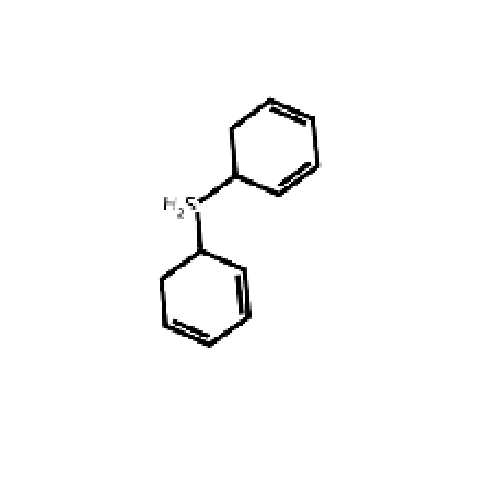 C1=CCC([SiH2]C2C=CC=CC2)C=C1